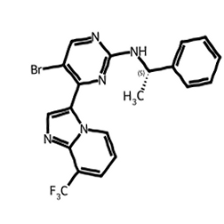 C[C@H](Nc1ncc(Br)c(-c2cnc3c(C(F)(F)F)cccn23)n1)c1ccccc1